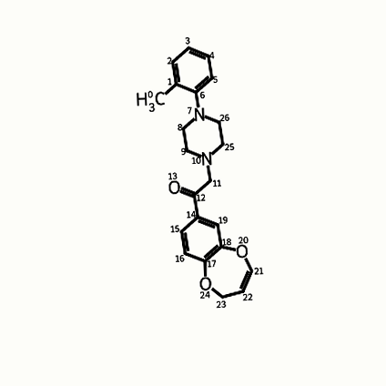 Cc1ccccc1N1CCN(CC(=O)c2ccc3c(c2)OC=CCO3)CC1